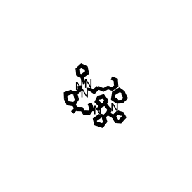 C=C(/C=C\C=C(/C)C1=CCC=CC(c2nc(/C=C/CCC/C=C\C)nc(-c3ccccc3)n2)=C1)N1c2ccccc2-c2c(n(C3=CC=CC=CC3)c3ccccc23)-c2ccccc21